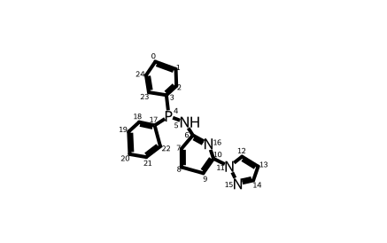 c1ccc(P(Nc2cccc(-n3cccn3)n2)c2ccccc2)cc1